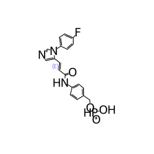 O=C(/C=C/c1cncn1-c1ccc(F)cc1)Nc1ccc(CO[PH](=O)O)cc1